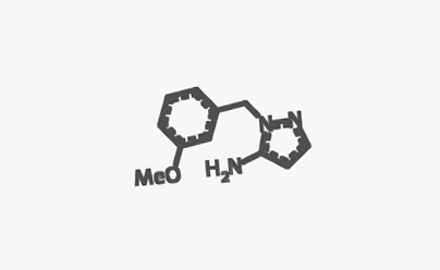 COc1cccc(Cn2nccc2N)c1